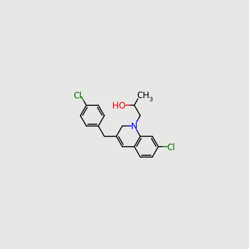 CC(O)CN1CC(Cc2ccc(Cl)cc2)=Cc2ccc(Cl)cc21